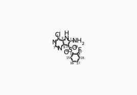 Nc1[nH]c2c(Cl)ncnc2c1S(=O)(=O)c1ccccc1F